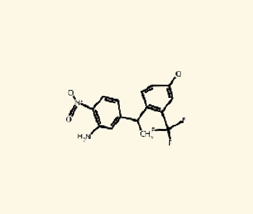 CC(c1ccc([N+](=O)[O-])c(N)c1)c1ccc(Cl)cc1C(F)(F)F